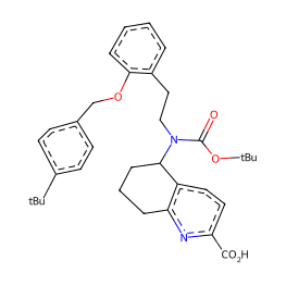 CC(C)(C)OC(=O)N(CCc1ccccc1OCc1ccc(C(C)(C)C)cc1)C1CCCc2nc(C(=O)O)ccc21